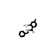 Cc1ccc(C(=O)NCc2ccccc2)c(N)c1